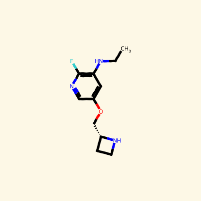 CCNc1cc(OC[C@H]2CCN2)cnc1F